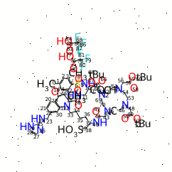 Cc1cc(C)c(S(=O)(=O)N[C@@H](CNC(=O)C2CC(=O)c3ccc(CNc4ncc[nH]4)cc3N2CCCC[C@H](CS(=O)(=O)O)NC(=O)CN2CCN(CC(=O)OC(C)(C)C)CCN(CC(=O)OC(C)(C)C)CCN(CC(=O)OC(C)(C)C)CC2)C(=O)O)c(C)c1.O=C(O)C(F)(F)F.O=C(O)C(F)(F)F